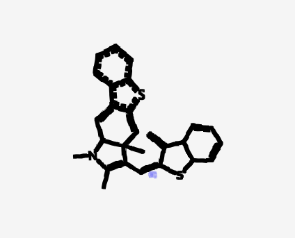 C=C1/C(=C\C2=C(C)N(C)C3C=c4c(sc5ccccc45)=CC23C)SC2C=CC=CC12